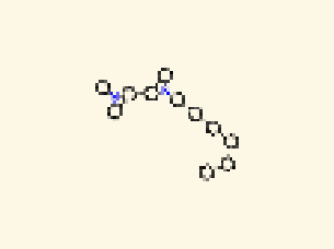 c1ccc(-c2cccc(-c3cccc(-c4ccc(-c5ccc(-c6ccc(-n7c8ccccc8c8cc(-c9ccc%10c(c9)c9ccccc9n%10-c9ccccc9)ccc87)cc6)cc5)cc4)c3)c2)cc1